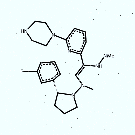 CNN/C(=C\N(C)N1CCC[C@@H]1c1cccc(F)c1)c1cccc(N2CCNCC2)n1